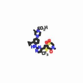 C[C@@H]1CN(c2ccc(Nc3ncc(C(F)(F)F)c(-c4cc5c(s4)C(=O)N(C)CCS5(=O)=O)n3)c(C3CC3)c2)CCN1C(=O)O